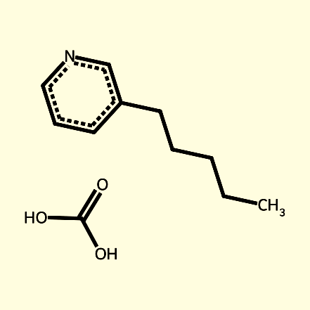 CCCCCc1cccnc1.O=C(O)O